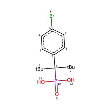 CC(C)(C)C(c1ccc(Br)cc1)(C(C)(C)C)P(=O)(O)O